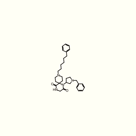 O=C1CNC(=O)C2(CCN(CCCCCCc3ccccc3)CC2)N1C1CCN(Cc2ccccc2)C1